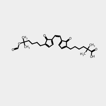 CC(C)(CCCCC1=CC=C(/C=C\C2=CC=C(CCCCC(C)(C)C(=O)O)C2=O)C1=O)OC=O